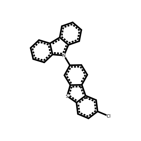 Clc1ccc2sc3cc(-n4c5ccccc5c5ccccc54)ccc3c2c1